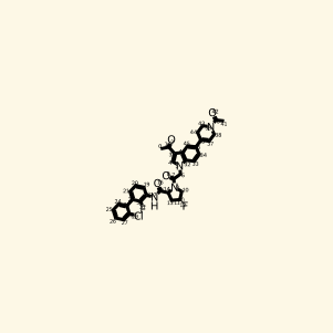 CC(=O)c1cn(CC(=O)N2C[C@H](F)CC2C(=O)Nc2cccc(-c3ccccc3Cl)c2F)c2ccc(C3=CCN(C(C)=O)CC3)cc12